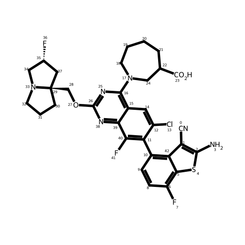 N#Cc1c(N)sc2c(F)ccc(-c3c(Cl)cc4c(N5CCCCC(C(=O)O)C5)nc(OC[C@@]56CCCN5C[C@H](F)C6)nc4c3F)c12